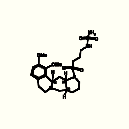 COc1ccc2c(c1OC)[C@@H]1C[C@@H]3[C@@H](CCCN3S(=O)(=O)CCCNS(N)(=O)=O)CN1CC2